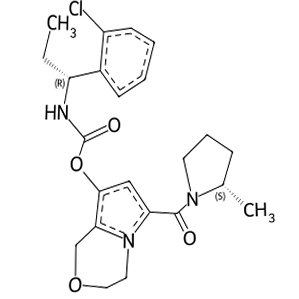 CC[C@@H](NC(=O)Oc1cc(C(=O)N2CCC[C@@H]2C)n2c1COCC2)c1ccccc1Cl